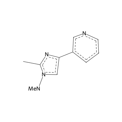 CNn1cc(-c2cccnc2)nc1C